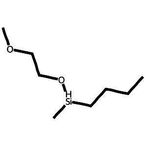 CCCC[SiH](C)OCCOC